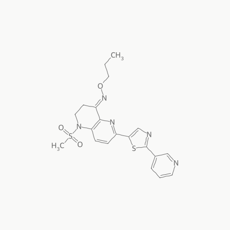 CCCO/N=C1\CCN(S(C)(=O)=O)c2ccc(-c3cnc(-c4cccnc4)s3)nc21